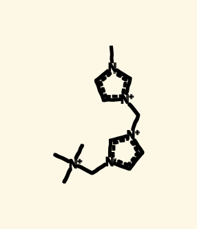 Cn1cc[n+](C[n+]2ccn(C[N+](C)(C)C)c2)c1